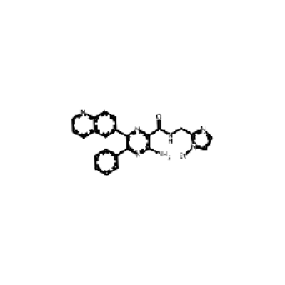 CCn1ccnc1CNC(=O)c1nc(-c2ccc3ncccc3c2)c(-c2ccccc2)nc1N